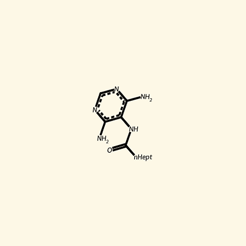 CCCCCCCC(=O)Nc1c(N)ncnc1N